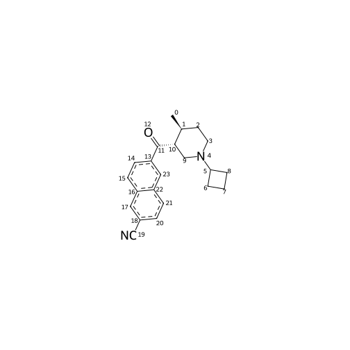 C[C@H]1CCN(C2CCC2)C[C@@H]1C(=O)c1ccc2cc(C#N)ccc2c1